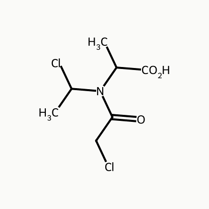 CC(Cl)N(C(=O)CCl)C(C)C(=O)O